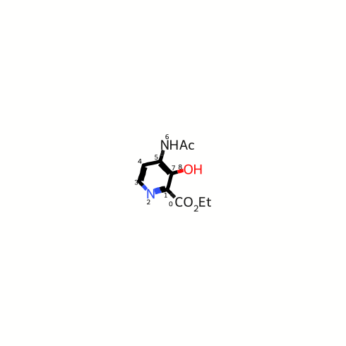 CCOC(=O)c1nccc(NC(C)=O)c1O